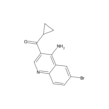 Nc1c(C(=O)C2CC2)cnc2ccc(Br)cc12